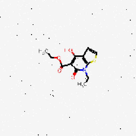 CCOC(=O)c1c(O)c2ccsc2n(CC)c1=O